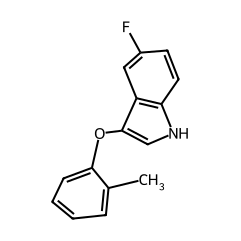 Cc1ccccc1Oc1c[nH]c2ccc(F)cc12